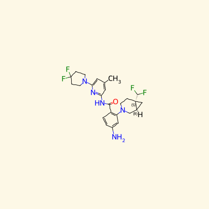 Cc1cc(NC(=O)c2ccc(N)cc2N2CC[C@@]3(C(F)F)C[C@H]3C2)nc(N2CCC(F)(F)CC2)c1